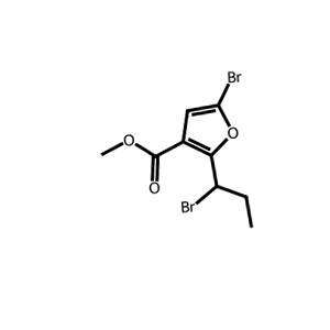 CCC(Br)c1oc(Br)cc1C(=O)OC